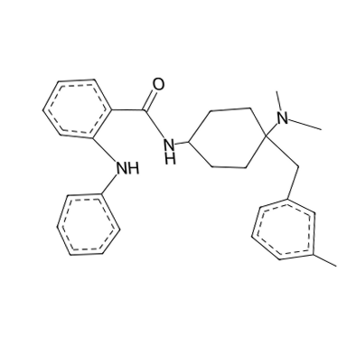 Cc1cccc(CC2(N(C)C)CCC(NC(=O)c3ccccc3Nc3ccccc3)CC2)c1